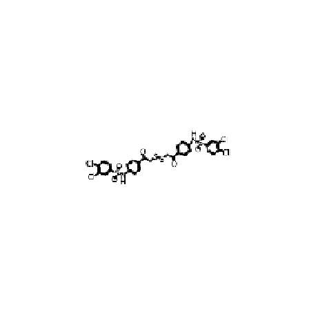 O=C(CSSCC(=O)c1ccc(NS(=O)(=O)c2ccc(Cl)c(Cl)c2)cc1)c1ccc(NS(=O)(=O)c2ccc(Cl)c(Cl)c2)cc1